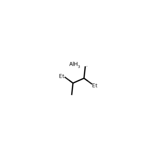 [AlH3].[CH2]C(CC)C(C)CC